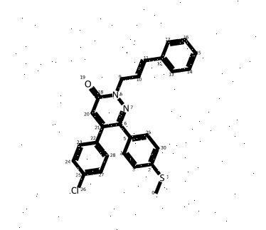 CSc1ccc(-c2nn(C/C=C/c3ccccc3)c(=O)cc2-c2ccc(Cl)cc2)cc1